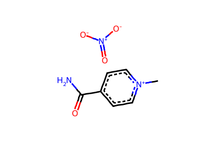 C[n+]1ccc(C(N)=O)cc1.O=[N+]([O-])[O-]